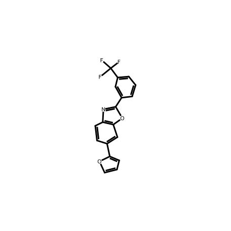 FC(F)(F)c1cccc(-c2nc3ccc(-c4ccco4)cc3o2)c1